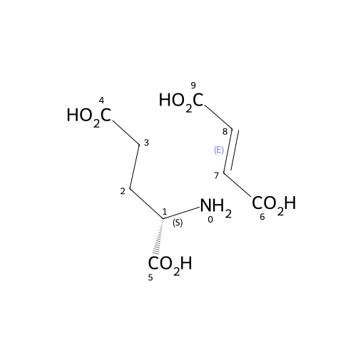 N[C@@H](CCC(=O)O)C(=O)O.O=C(O)/C=C/C(=O)O